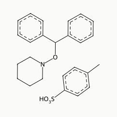 Cc1ccc(S(=O)(=O)O)cc1.c1ccc(C(ON2CCCCC2)c2ccccc2)cc1